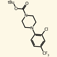 CC(C)(C)OC(=O)N1CCN(c2ccc(C(F)(F)F)cc2Cl)CC1